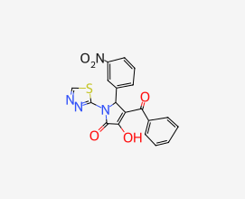 O=C(C1=C(O)C(=O)N(c2nncs2)C1c1cccc([N+](=O)[O-])c1)c1ccccc1